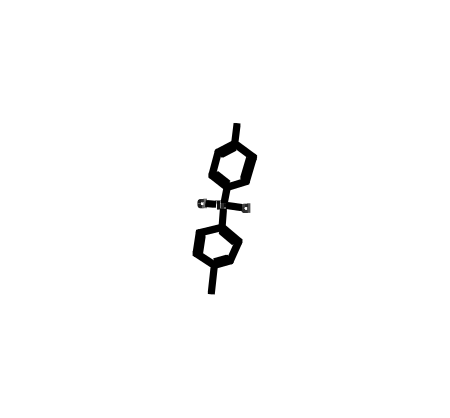 Cc1ccc([Te](Cl)(Cl)c2ccc(C)cc2)cc1